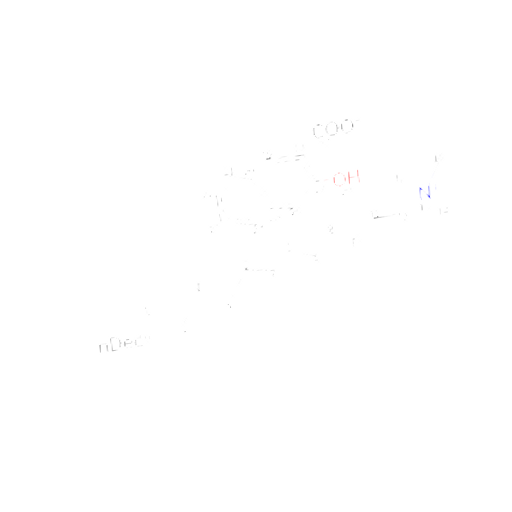 CCCCCCCCCCCCCCCCCCCCCC[N+](C)(C)C.O=C([O-])c1cc2ccccc2[c]c1O